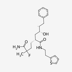 CC(F)(CC[C@H](C[C@@H](O)[CH]Cc1ccccc1)C(=O)NCCc1cccs1)C(N)=O